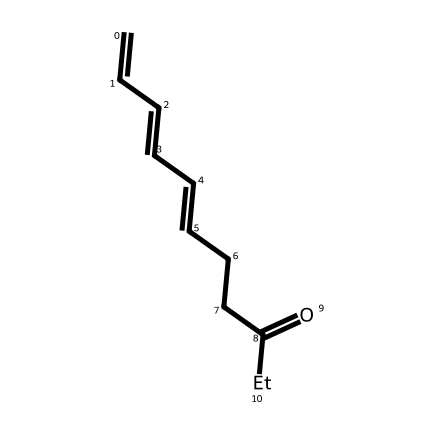 C=C/C=C/C=C/CCC(=O)CC